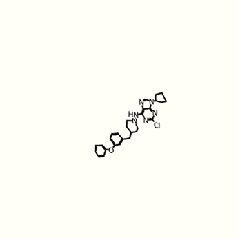 Clc1nc(NN2CCC(Cc3cccc(Oc4ccccc4)c3)CC2)c2ncn(C3CCCC3)c2n1